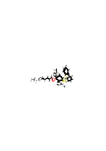 CCCCCCOc1c(C)cc([SH]2c3ccccc3-c3ccccc32)cc1C